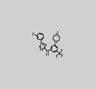 CN1CCN(c2cc(Nc3ncn(-c4cccc(F)c4)n3)cc(C(F)(F)F)c2)CC1